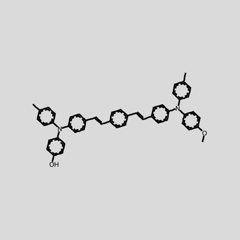 COc1ccc(N(c2ccc(C)cc2)c2ccc(C=Cc3ccc(C=Cc4ccc(N(c5ccc(C)cc5)c5ccc(O)cc5)cc4)cc3)cc2)cc1